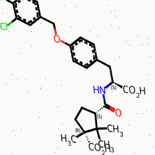 CC1(C)[C@@H](C(=O)N[C@@H](Cc2ccc(OCc3ccc(Cl)c(Cl)c3)cc2)C(=O)O)CC[C@@]1(C)C(=O)O